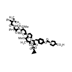 CC[C@H](C)[C@@H]([C@@H](CC(=O)N1CCC[C@H]1[C@H](OC)[C@@H](C)C(=O)N[C@@H](Cc1ccc(OC(=O)N2CCC(C(=O)O)CC2)cc1)C(=O)NS(=O)(=O)C1CC1)OC)N(C)C(=O)[C@@H](NC(=O)C(C(C)C)N(C)C)C(C)C